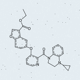 CCOC(=O)c1coc2ccc(Oc3cccnc3C(=O)N3CCN(C4CC4)c4ccccc43)cc12